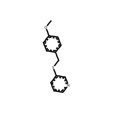 COc1ccc(CSc2cccnc2)cc1